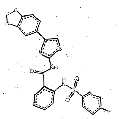 O=C(Nc1nc(-c2ccc3c(c2)OCO3)cs1)c1ccccc1NS(=O)(=O)c1ccc(F)cc1